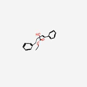 CCOC(=O)C(O)(C=Cc1ccccc1)CCc1ccccc1